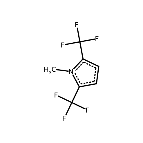 Cn1c(C(F)(F)F)ccc1C(F)(F)F